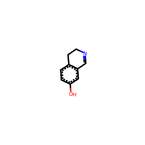 Oc1ccc2c(c1)C=NCC2